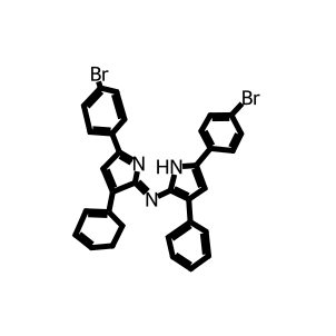 Brc1ccc(C2=N/C(=N\c3[nH]c(-c4ccc(Br)cc4)cc3-c3ccccc3)C(C3=CC=CCC3)=C2)cc1